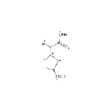 COC(=O)C(Br)[C@H]1CCN(C(=O)O)C1